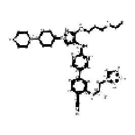 CCOCCCOc1nn(C2CCC(N3CCOCC3)CC2)cc1Nc1ncc(-c2ccc(C#N)c(O[C@@H](C)Cn3cnnn3)c2)cn1